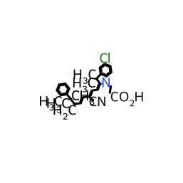 C=C(/C=C/C(C#N)=C/C=C1/N(CCC(=O)O)c2ccc(Cl)cc2C1(C)C)C(C)(C)c1ccccc1C